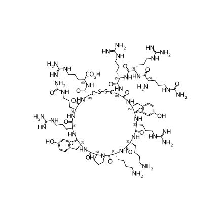 N=C(N)NCCC[C@H](NC(=O)[C@@H]1CSSC[C@H](NC(=O)[C@H](CCCNC(=N)N)NC(=O)[C@H](CCCNC(=N)N)NC(=O)[C@@H](N)CCCNC(N)=O)C(=O)N[C@@H](Cc2ccc(O)cc2)C(=O)N[C@@H](CCCNC(=N)N)C(=O)N[C@@H](CCCCN)C(=O)N[C@H](CCCCN)C(=O)N2CCC[C@H]2C(=O)N[C@@H](Cc2ccc(O)cc2)C(=O)N[C@@H](CCCNC(=N)N)C(=O)N[C@@H](CCCNC(N)=O)C(=O)N1)C(=O)O